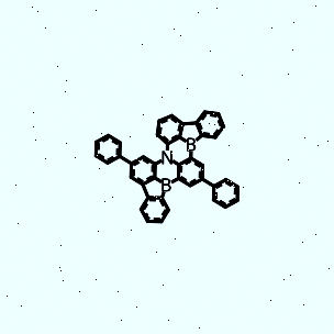 c1ccc(-c2cc3c4c(c2)B2c5ccccc5-c5cc(-c6ccccc6)cc(c52)N4c2cccc4c2B3c2ccccc2-4)cc1